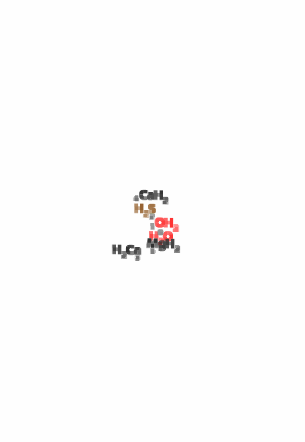 O.O.S.[CaH2].[CaH2].[MgH2]